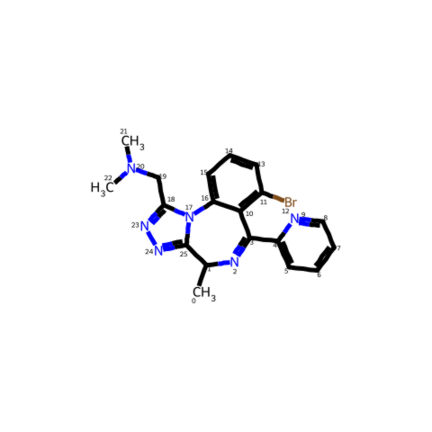 CC1N=C(c2ccccn2)c2c(Br)cccc2-n2c(CN(C)C)nnc21